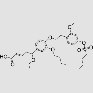 CCCCOc1cc(C(CC=CC(=O)O)OCC)ccc1OCCc1ccc(OS(=O)(=O)CCCC)cc1OC